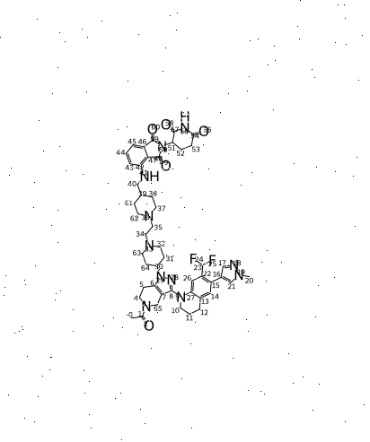 CC(=O)N1CCc2c(c(N3CCCc4cc(-c5cnn(C)c5)c(C(F)F)cc43)nn2C2CCN(CCN3CCC(CNc4cccc5c4C(=O)N(C4CCC(=O)NC4=O)C5=O)CC3)CC2)C1